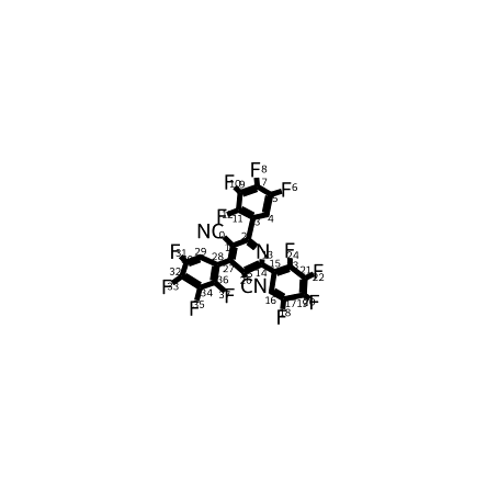 N#Cc1c(-c2cc(F)c(F)c(F)c2F)nc(-c2cc(F)c(F)c(F)c2F)c(C#N)c1-c1cc(F)c(F)c(F)c1F